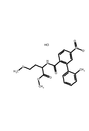 COC(=O)C(CCSC)NC(=O)c1ccc([N+](=O)[O-])cc1-c1ccccc1C.Cl